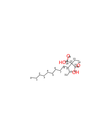 CCCCCCCCCC(CC)C(CC)(C(=O)O)C(=O)O